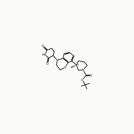 CC(C)(C)OC(=O)N1CCC[C@@](C)(c2cccc3c2OCCN3C2CCC(=O)NC2=O)C1